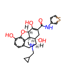 O=C(Nc1ccsc1)C1=C(O)[C@@H]2Oc3c(O)ccc4c3[C@@]23CCN(CC2CC2)[C@H](C4)[C@]3(O)C1